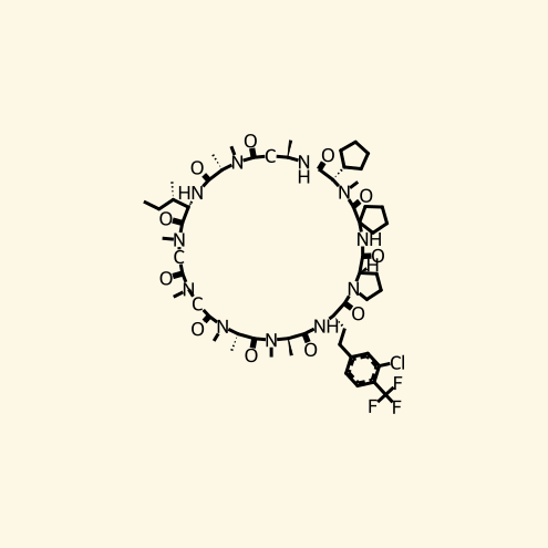 CC[C@H](C)[C@@H]1NC(=O)[C@H](C)N(C)C(=O)C[C@@H](C)NC(=O)[C@H](C2CCCC2)N(C)C(=O)C2(CCCC2)NC(=O)[C@@H]2CCCN2C(=O)[C@H](CCc2ccc(C(F)(F)F)c(Cl)c2)NC(=O)[C@@H](C)N(C)C(=O)[C@H](C)N(C)C(=O)CN(C)C(=O)CN(C)C1=O